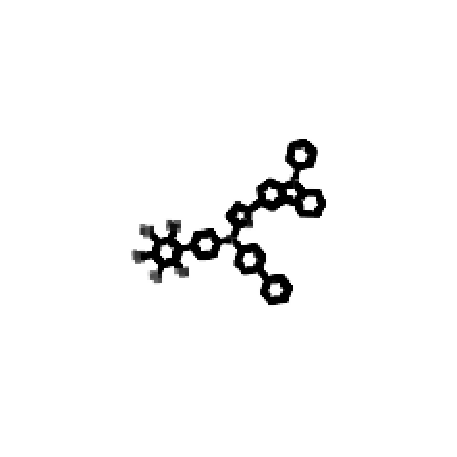 [2H]c1c([2H])c([2H])c(-c2ccc(N(c3ccc(-c4ccccc4)cc3)c3ccc(-c4ccc5c(c4)c4ccccc4n5-c4ccccc4)s3)cc2)c([2H])c1[2H]